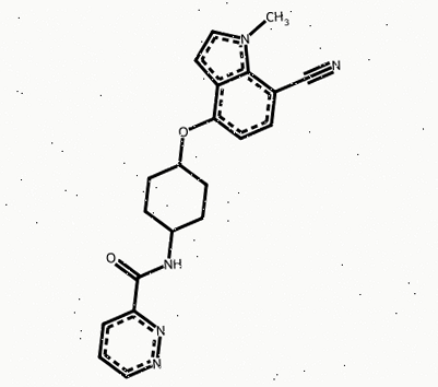 Cn1ccc2c(OC3CCC(NC(=O)c4cccnn4)CC3)ccc(C#N)c21